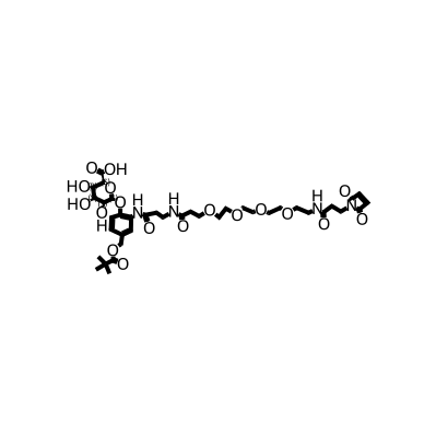 CC(C)(C)C(=O)OCc1ccc(O[C@@H]2O[C@H](C(=O)O)[C@H](O)[C@H](O)[C@@H]2O)c(NC(=O)CCNC(=O)CCOCCOCCOCCOCCNC(=O)CCN2C(=O)C=CC2=O)c1